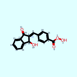 O=C(OO)c1ccc(/C=C2/C(=O)c3ccccc3C2O)cc1